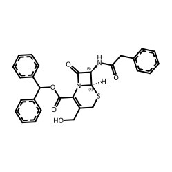 O=C(Cc1ccccc1)N[C@@H]1C(=O)N2C(C(=O)OC(c3ccccc3)c3ccccc3)=C(CO)CS[C@H]12